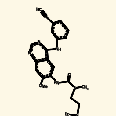 C#Cc1cccc(Nc2ncnc3cc(OC)c(NC(=O)N(C)CCN(CC)CC)cc23)c1